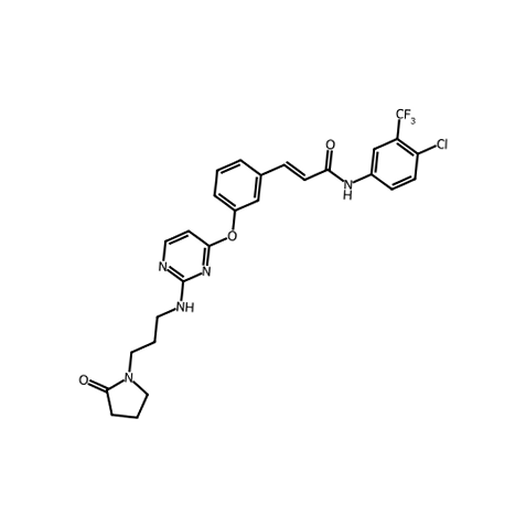 O=C(/C=C/c1cccc(Oc2ccnc(NCCCN3CCCC3=O)n2)c1)Nc1ccc(Cl)c(C(F)(F)F)c1